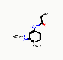 CCCCCCCCCCNc1cc(NC(=O)CC(C)C)ccc1OC